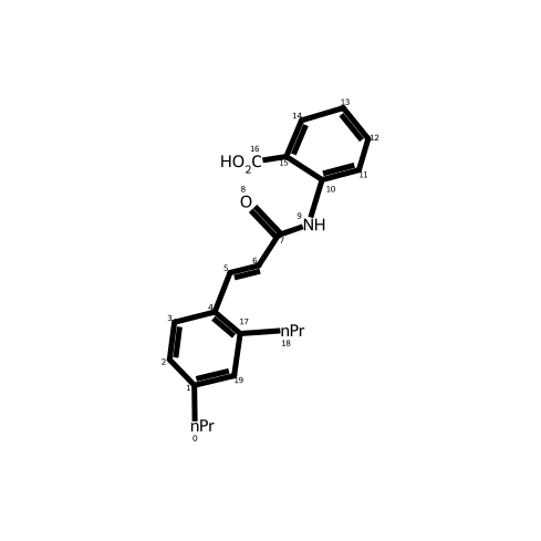 CCCc1ccc(C=CC(=O)Nc2ccccc2C(=O)O)c(CCC)c1